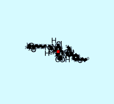 C=CCOc1ccc(C(CC(=O)N=C(Cc2cc(Cl)c(NC(=O)CNCCCC=CC(=O)OC(C)(C)C)c(Cl)c2)N(C(=O)O)C(C)(C)C)=NOCC)cc1